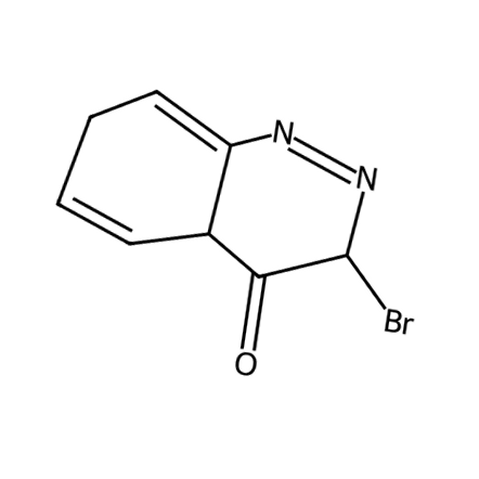 O=C1C(Br)N=NC2=CCC=CC12